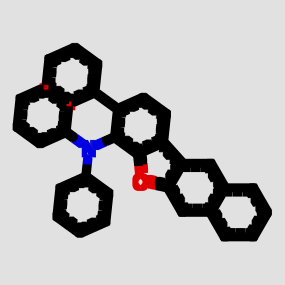 c1ccc(-c2ccc3c(oc4cc5ccccc5cc43)c2N(c2ccccc2)c2ccccc2)cc1